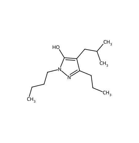 CCCCn1nc(CCC)c(CC(C)C)c1O